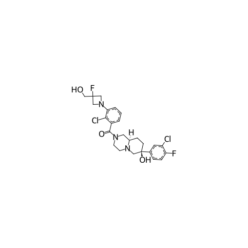 O=C(c1cccc(N2CC(F)(CO)C2)c1Cl)N1CCN2C[C@@](O)(c3ccc(F)c(Cl)c3)CC[C@@H]2C1